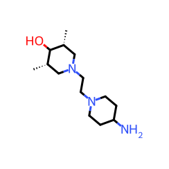 C[C@@H]1CN(CCN2CCC(N)CC2)C[C@H](C)C1O